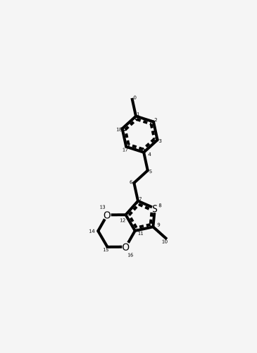 Cc1ccc(CCc2sc(C)c3c2OCCO3)cc1